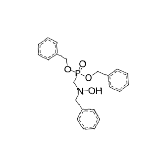 O=P(CN(O)Cc1ccccc1)(OCc1ccccc1)OCc1ccccc1